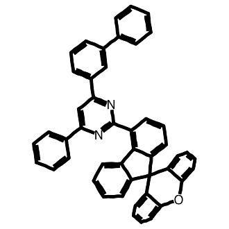 c1ccc(-c2cccc(-c3cc(-c4ccccc4)nc(-c4cccc5c4-c4ccccc4C54c5ccccc5Oc5ccccc54)n3)c2)cc1